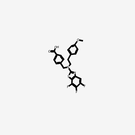 COc1ccc(CCN(Cc2ccc(C(=O)O)cc2)c2nc3cc(F)c(F)c(F)c3s2)cc1